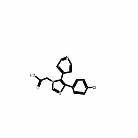 O=C(O)Cn1cnc(-c2ccc(Cl)cc2)c1-c1ccncc1